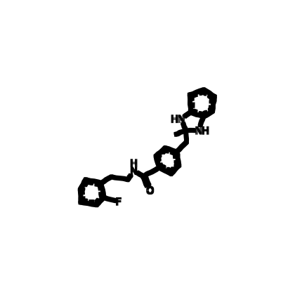 CC1(Cc2ccc(C(=O)NCCc3ccccc3F)cc2)Nc2ccccc2N1